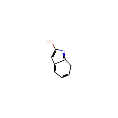 OC1=CC2=CC=CCC2=N1